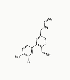 N=CNCc1ccc(C=N)c(-c2ccc(O)c(Cl)c2)c1